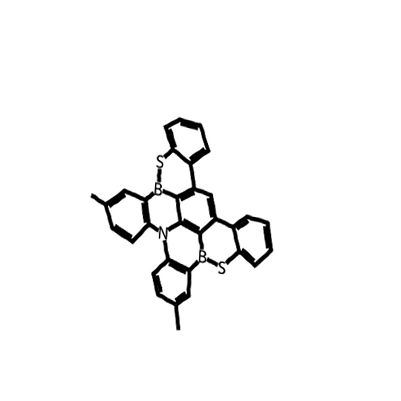 Cc1ccc2c(c1)B1Sc3ccccc3-c3cc4c5c(c31)N2c1ccc(C)cc1B5Sc1ccccc1-4